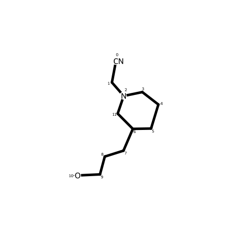 N#CCN1CCCC(CCC[O])C1